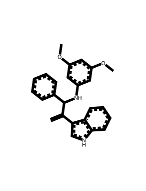 C=C(c1c[nH]c2ccccc12)C(Nc1cc(OC)cc(OC)c1)c1ccccc1